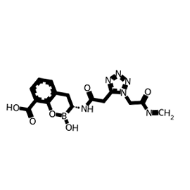 C=NC(=O)Cn1nnnc1CC(=O)N[C@H]1Cc2cccc(C(=O)O)c2OB1O